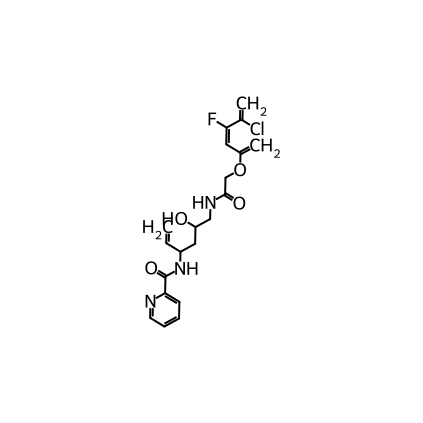 C=CC(CC(O)CNC(=O)COC(=C)/C=C(/F)C(=C)Cl)NC(=O)c1ccccn1